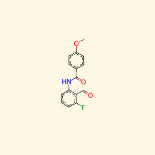 COc1ccc(C(=O)Nc2cccc(F)c2C=O)cc1